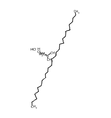 CCCCCCCCCCCCCCCCCCCCCCCCCCCC.CN(C)C.Cl.Cl.N